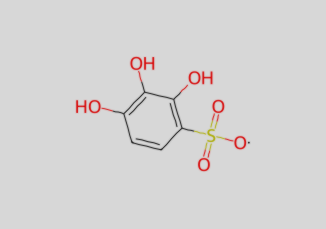 [O]S(=O)(=O)c1ccc(O)c(O)c1O